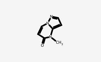 Cn1c(=O)ccn2nccc12